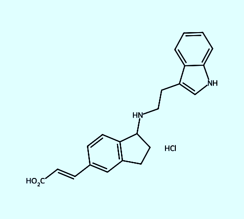 Cl.O=C(O)C=Cc1ccc2c(c1)CCC2NCCc1c[nH]c2ccccc12